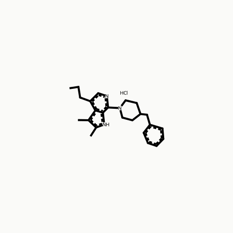 CCCc1cnc(N2CCC(Cc3ccccc3)CC2)c2[nH]c(C)c(C)c12.Cl